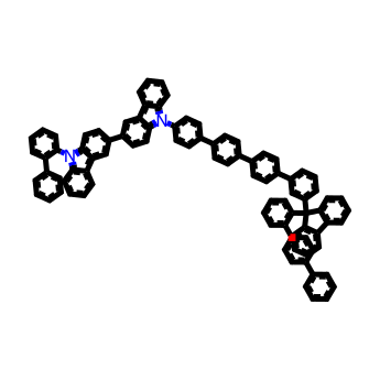 c1ccc(-c2ccc(-c3ccccc3C3(c4cccc(-c5ccc(-c6ccc(-c7ccc(-n8c9ccccc9c9cc(-c%10ccc%11c(c%10)c%10ccccc%10n%11-c%10ccccc%10-c%10ccccc%10)ccc98)cc7)cc6)cc5)c4)c4ccccc4-c4ccccc43)cc2)cc1